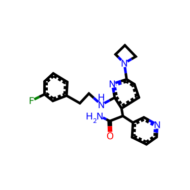 NC(=O)C(c1cccnc1)c1ccc(N2CCC2)nc1NCCc1cccc(F)c1